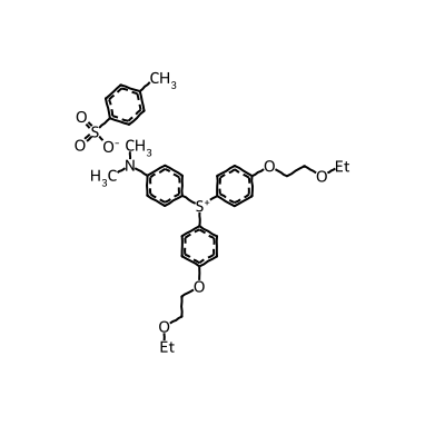 CCOCCOc1ccc([S+](c2ccc(OCCOCC)cc2)c2ccc(N(C)C)cc2)cc1.Cc1ccc(S(=O)(=O)[O-])cc1